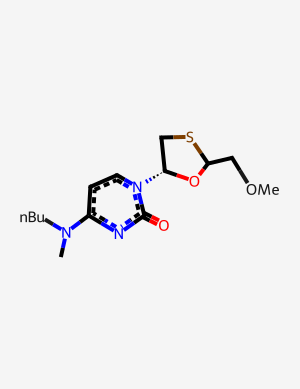 CCCCN(C)c1ccn([C@@H]2CSC(COC)O2)c(=O)n1